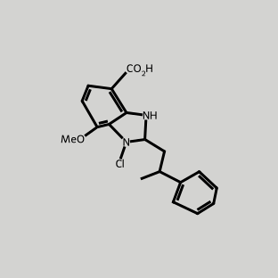 COc1ccc(C(=O)O)c2c1N(Cl)C(CC(C)c1ccccc1)N2